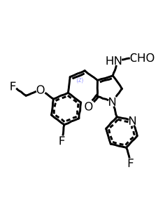 O=CNC1=C(/C=C\c2ccc(F)cc2OCF)C(=O)N(c2ccc(F)cn2)C1